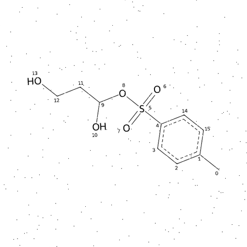 Cc1ccc(S(=O)(=O)OC(O)CCO)cc1